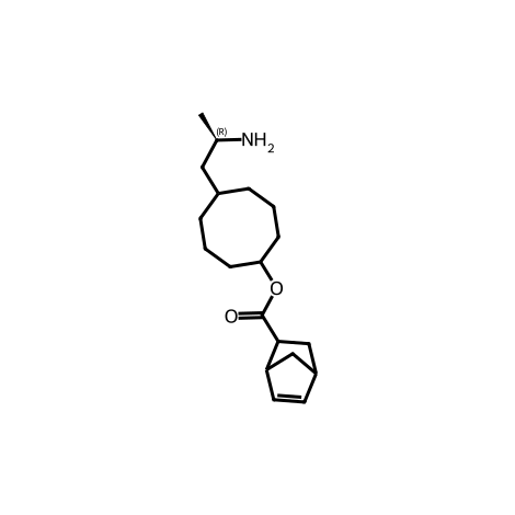 C[C@@H](N)CC1CCCC(OC(=O)C2CC3C=CC2C3)CCC1